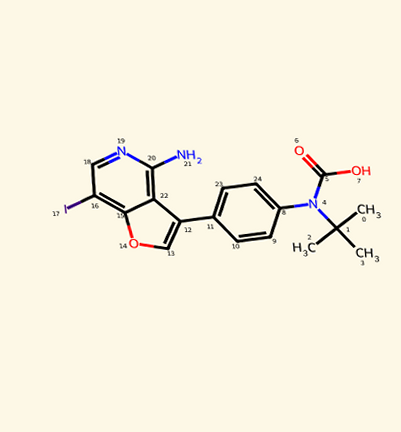 CC(C)(C)N(C(=O)O)c1ccc(-c2coc3c(I)cnc(N)c23)cc1